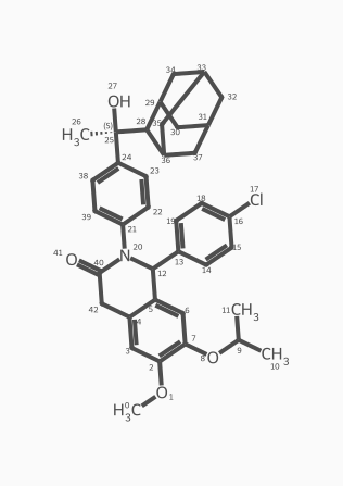 COc1cc2c(cc1OC(C)C)C(c1ccc(Cl)cc1)N(c1ccc([C@@](C)(O)C3C4CC5CC(C4)CC3C5)cc1)C(=O)C2